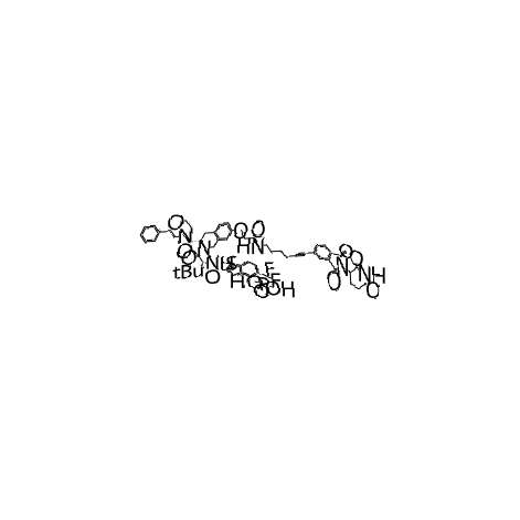 CC(C)(C)[C@H](NC(=O)c1cc2cc(C(F)(F)P(=O)(O)O)ccc2s1)C(=O)N1Cc2cc(OCC(=O)NCCCCC#Cc3ccc4c(c3)C(=O)N(C3CCC(=O)NC3=O)C4=O)ccc2C[C@H]1C(=O)N1CCOC(c2ccccc2)C1